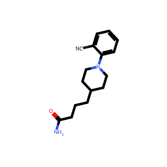 N#Cc1ccccc1N1CCC(CCCC(N)=O)CC1